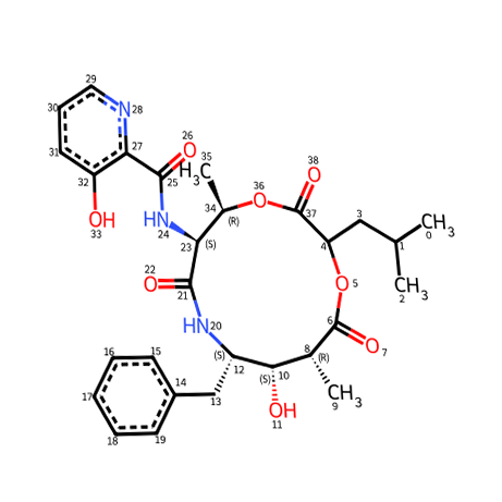 CC(C)CC1OC(=O)[C@H](C)[C@H](O)[C@H](Cc2ccccc2)NC(=O)[C@@H](NC(=O)c2ncccc2O)[C@@H](C)OC1=O